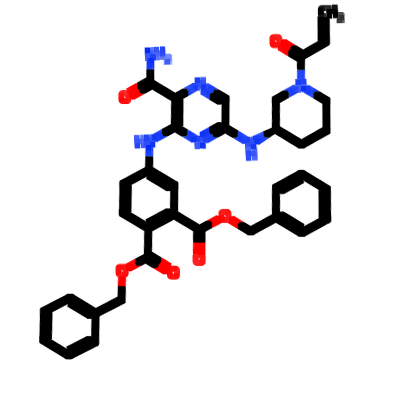 C=CC(=O)N1CCC[C@@H](Nc2cnc(C(N)=O)c(Nc3ccc(C(=O)OCc4ccccc4)c(C(=O)OCc4ccccc4)c3)n2)C1